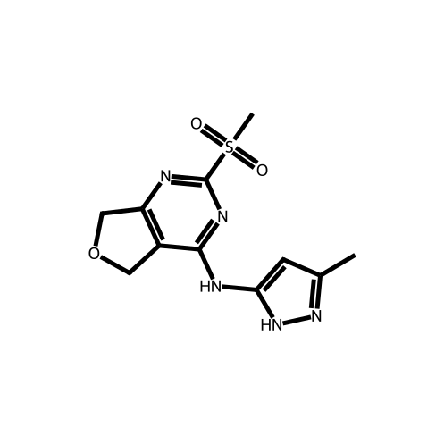 Cc1cc(Nc2nc(S(C)(=O)=O)nc3c2COC3)[nH]n1